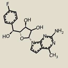 Cc1nc(N)nc2c1ccn2[C@@H]1O[C@H]([C@@H](O)c2ccc(F)cc2)[C@@H](O)C1O